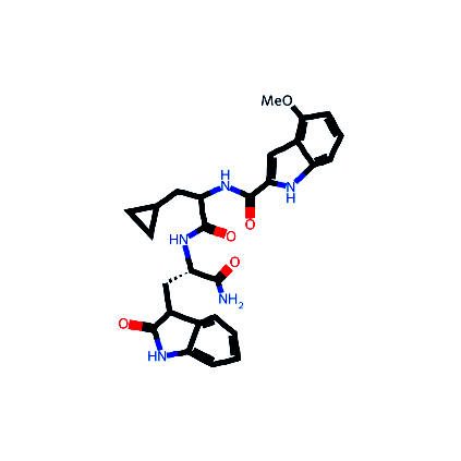 COc1cccc2[nH]c(C(=O)NC(CC3CC3)C(=O)N[C@@H](CC3C(=O)Nc4ccccc43)C(N)=O)cc12